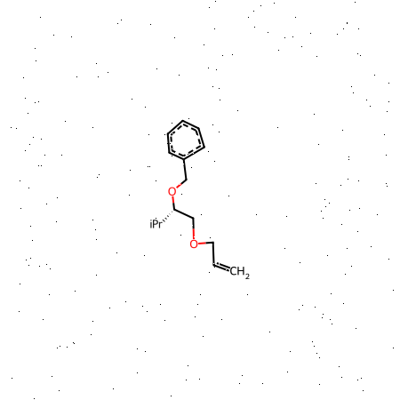 C=CCOC[C@@H](OCc1ccccc1)C(C)C